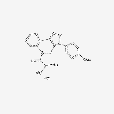 CCCCN(CCCC)C(=O)N1Cn2c(cnc2-c2ccc(OC)cc2)-c2ccccc21.Cl